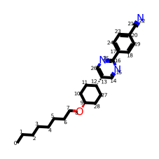 CCCCCCCCO[C@H]1CC[C@H](c2cnc(-c3ccc(C#N)cc3)nc2)CC1